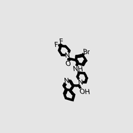 O=C(c1cc(Br)ccc1N[C@@H]1CCCN(C(O)c2cncc3c2=CCCC=3)C1)N1CCC(F)(F)CC1